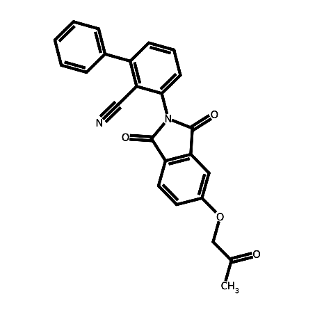 CC(=O)COc1ccc2c(c1)C(=O)N(c1cccc(-c3ccccc3)c1C#N)C2=O